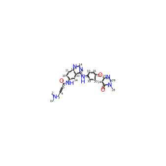 CN(C)CC#CC(=O)Nc1ccc2ncnc(Nc3ccc(Oc4cc(=O)n(C)cn4)cc3)c2c1